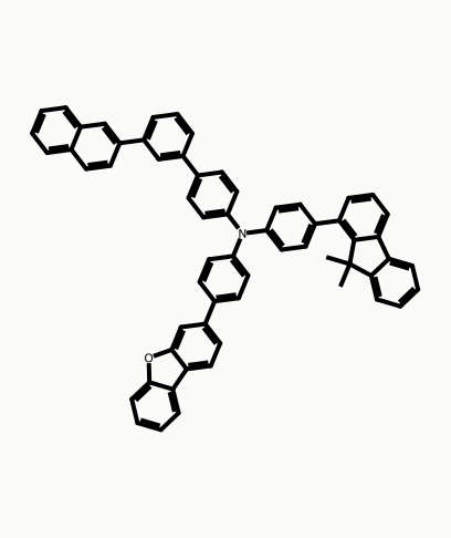 CC1(C)c2ccccc2-c2cccc(-c3ccc(N(c4ccc(-c5cccc(-c6ccc7ccccc7c6)c5)cc4)c4ccc(-c5ccc6c(c5)oc5ccccc56)cc4)cc3)c21